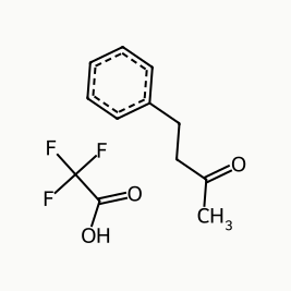 CC(=O)CCc1ccccc1.O=C(O)C(F)(F)F